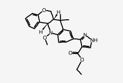 CCOC(=O)c1c[nH]nc1-c1ccc2c(c1)C(C)(C)[C@H]1COc3ccccc3[C@H]1N2OC